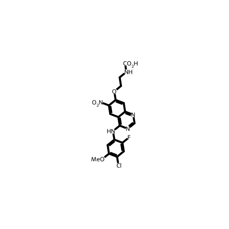 COc1cc(Nc2ncnc3cc(OCCNC(=O)O)c([N+](=O)[O-])cc23)c(F)cc1Cl